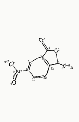 CC1OC(=O)c2cc([N+](=O)[O-])ccc21